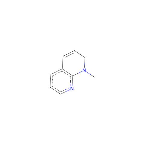 CN1CC=Cc2cccnc21